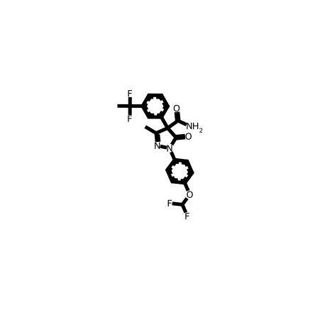 CC1=NN(c2ccc(OC(F)F)cc2)C(=O)C1(C(N)=O)c1cccc(C(C)(F)F)c1